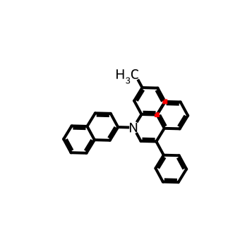 Cc1cccc(N(C=C(c2ccccc2)c2ccccc2)c2ccc3ccccc3c2)c1